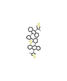 Cc1cscc1-c1c2ccccc2c(-c2cccc3c2sc2cccc(-c4c5ccccc5c(-c5cscc5C)c5ccccc45)c23)c2ccccc12